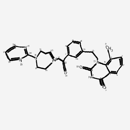 Cc1cccc2c(=O)[nH]c(=O)n(Cc3cccc(C(=O)N4CCN(c5ncccn5)CC4)c3)c12